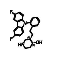 O[C@@H]1CCNC[C@H]1CCc1ccccc1-n1c2ccc(F)cc2c2cc(F)ccc21